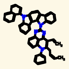 C=CC1=C(C/C=C\C)N(c2ccccc2)c2cccc3nc(-n4c5ccccc5c5ccc6c(c7ccccc7n6-c6cccc7ccccc67)c54)nc1c23